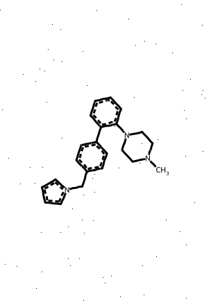 CN1CCN(c2ccccc2-c2ccc(Cn3cccc3)cc2)CC1